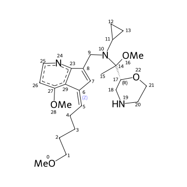 COCCCC/C=C1/C=C(CN(C2CC2)C(C)(OC)[C@H]2CNCCO2)c2nccc(OC)c21